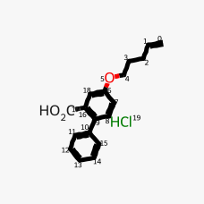 C=CCCCOc1ccc(-c2ccccc2)c(C(=O)O)c1.Cl